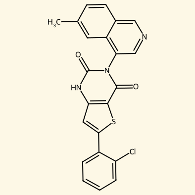 Cc1ccc2cncc(-n3c(=O)[nH]c4cc(-c5ccccc5Cl)sc4c3=O)c2c1